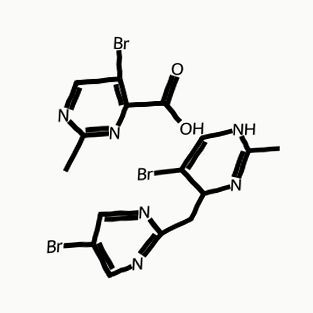 CC1=NC(Cc2ncc(Br)cn2)C(Br)=CN1.Cc1ncc(Br)c(C(=O)O)n1